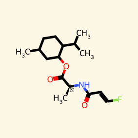 CC1CCC(C(C)C)C(OC(=O)[C@H](C)NC(=O)C=CF)C1